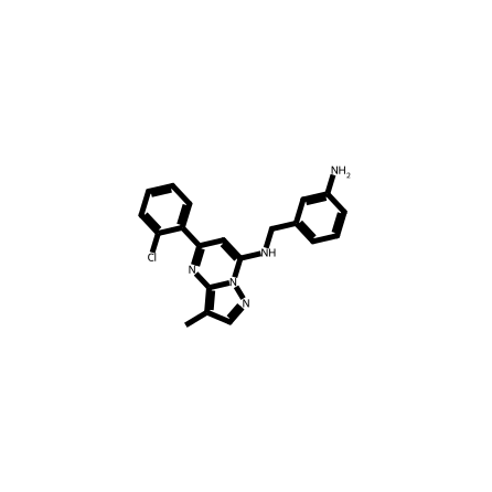 Cc1cnn2c(NCc3cccc(N)c3)cc(-c3ccccc3Cl)nc12